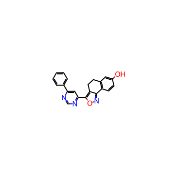 Oc1ccc2c(c1)CCc1c-2noc1-c1cc(-c2ccccc2)ncn1